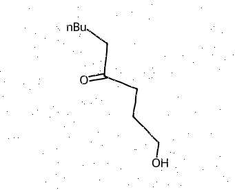 CCCCCC(=O)CCCO